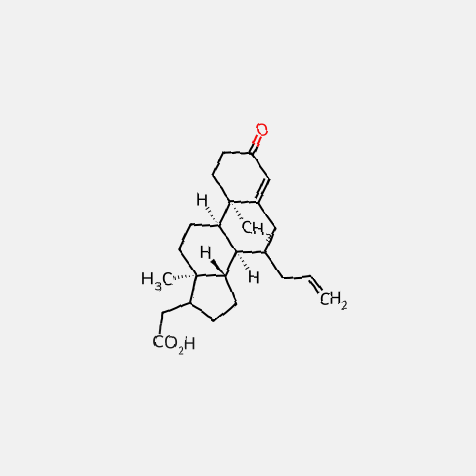 C=CCC1CC2=CC(=O)CC[C@]2(C)[C@@H]2CC[C@]3(C)C(CC(=O)O)CC[C@H]3[C@H]12